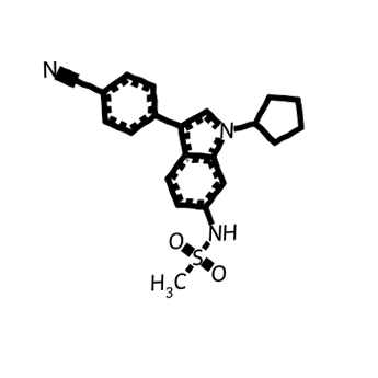 CS(=O)(=O)Nc1ccc2c(-c3ccc(C#N)cc3)cn(C3CCCC3)c2c1